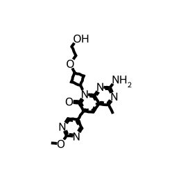 COc1ncc(-c2cc3c(C)nc(N)nc3n(C3CC(OCCO)C3)c2=O)cn1